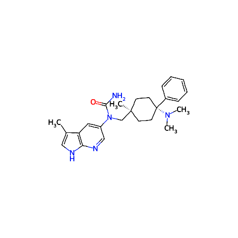 Cc1c[nH]c2ncc(N(C[C@]3(C)CC[C@@](c4ccccc4)(N(C)C)CC3)C(N)=O)cc12